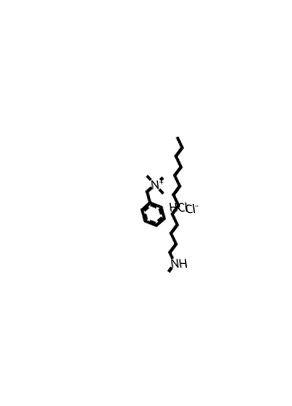 CCCCCCCCCCCCCNC.C[N+](C)(C)Cc1ccccc1.Cl.[Cl-]